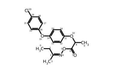 CCC(C)=NOC(=O)C(C)Oc1ccc(Oc2ccc(Cl)cc2)cc1